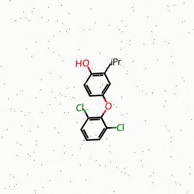 CC(C)c1cc(Oc2c(Cl)c[c]cc2Cl)ccc1O